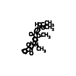 CCOc1cc2c(cc1C(=O)N1CCN(C(=O)OC(C)(C)C)CC1)nc(CN1C(=O)c3ccccc3C1=O)n2CC